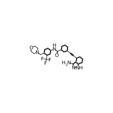 Nc1n[nH]c2cccc(C#Cc3cccc(C(=O)Nc4ccc(CN5CCOCC5)c(C(F)(F)F)c4)c3)c12